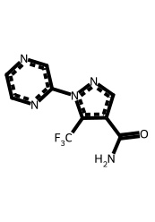 NC(=O)c1cnn(-c2cnccn2)c1C(F)(F)F